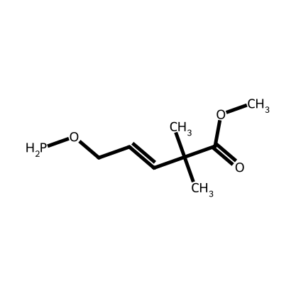 COC(=O)C(C)(C)/C=C/COP